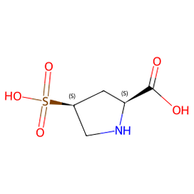 O=C(O)[C@@H]1C[C@H](S(=O)(=O)O)CN1